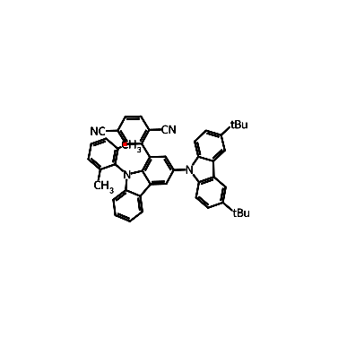 Cc1cccc(C)c1-n1c2ccccc2c2cc(-n3c4ccc(C(C)(C)C)cc4c4cc(C(C)(C)C)ccc43)cc(-c3cc(C#N)ccc3C#N)c21